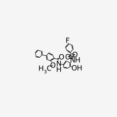 COc1cc(-c2ccccc2)ccc1C(=O)Nc1ccc(O)c(NS(=O)(=O)c2ccc(F)cc2)c1